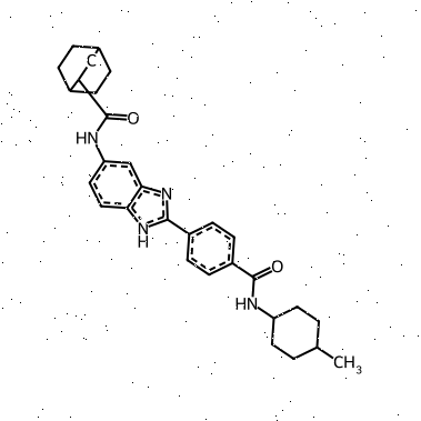 CC1CCC(NC(=O)c2ccc(-c3nc4cc(NC(=O)C5CC6CCC5CC6)ccc4[nH]3)cc2)CC1